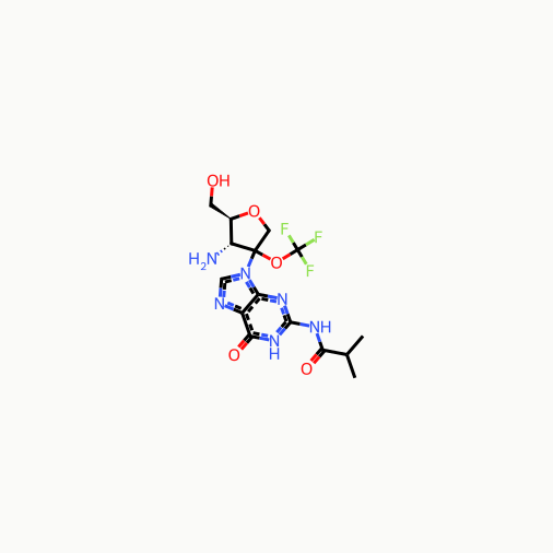 CC(C)C(=O)Nc1nc2c(ncn2C2(OC(F)(F)F)CO[C@H](CO)[C@H]2N)c(=O)[nH]1